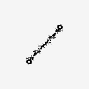 O=C(NCCCCCCCCNC(=O)NCCCOC(=O)NC1CCCCC1)NCCCOC(=O)NC1CCCCC1